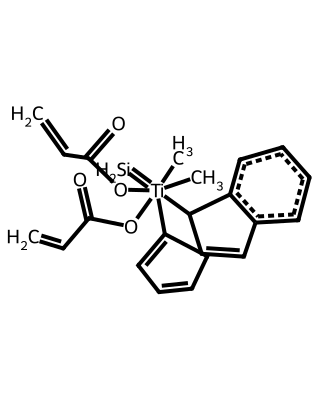 C=CC(=O)[O][Ti]([CH3])([CH3])(=[SiH2])([O]C(=O)C=C)([C]1=CC=CC1)[CH]1C=Cc2ccccc21